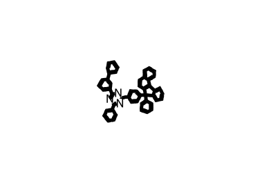 c1ccc(-c2cccc(-c3nc(-c4ccccc4)nc(-c4ccc(C5(c6ccccc6)c6ccccc6-c6c5ccc5ccccc65)cc4)n3)c2)cc1